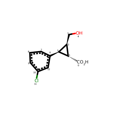 O=C(O)[C@H]1[C@H](CO)[C@@H]1c1cccc(Cl)c1